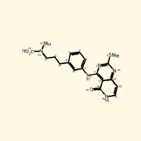 CSc1nc(Nc2cccc(CCCN(C(=O)O)C(C)(C)C)c2)c2c(=O)[nH]ccc2n1